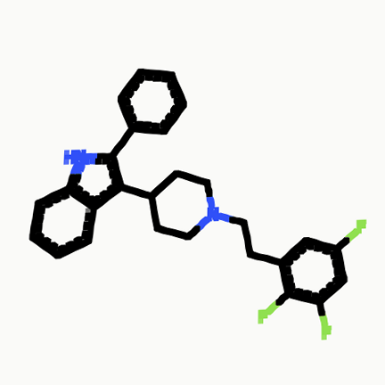 Fc1cc(F)c(F)c(CCN2CCC(c3c(-c4ccccc4)[nH]c4ccccc34)CC2)c1